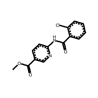 COC(=O)c1ccc(NC(=O)c2ccccc2Cl)nc1